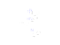 CCOC(=O)c1[nH]c2c(-c3c(C)nn(C)c3C)c(Cl)ccc2c1CCCN(C)c1cccc2ccccc12